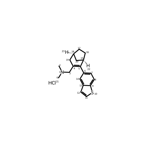 CN(C)CC1=C(c2ccc3sccc3c2)[C@@H]2CC[C@H](C1)C2.Cl